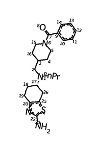 CCCN(CC1CCN(C(=O)c2ccccc2)CC1)[C@H]1CCc2nc(N)sc2C1